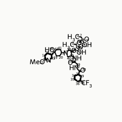 CCS(=O)(=O)O.CCS(=O)(=O)O.COc1ccc([C@]2(O)CC[C@H](N3CC[C@@H](NC(=O)CNC(=O)c4cccc(C(F)(F)F)c4)C3)CC2)cn1